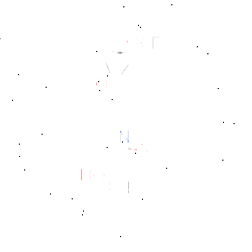 C[C@]1(O)C[C@@H](C(=O)N2CC3(CCC(Oc4ccc(OC(F)(F)F)cc4)CC3)C2)C1